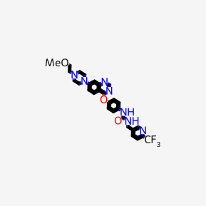 COCCN1CCN(c2ccc3c(Oc4ccc(NC(=O)NCc5ccc(C(F)(F)F)nc5)cc4)ncnc3c2)CC1